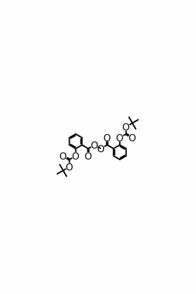 CC(C)(C)OC(=O)Oc1ccccc1C(=O)OOC(=O)c1ccccc1OC(=O)OC(C)(C)C